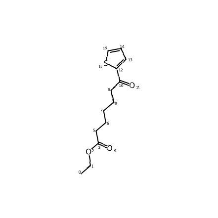 CCOC(=O)CCCCCC(=O)c1cccs1